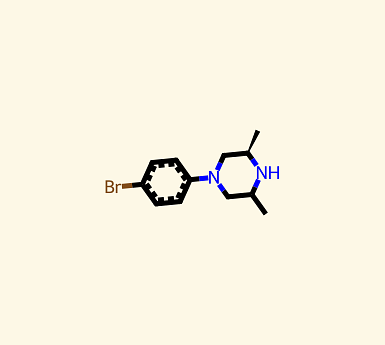 CC1CN(c2ccc(Br)cc2)C[C@@H](C)N1